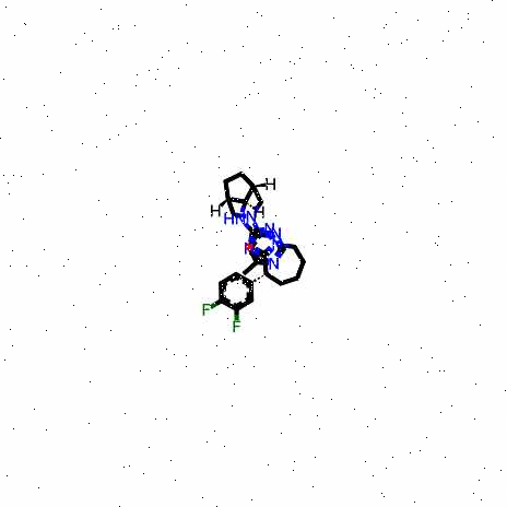 Cc1cc(N2C[C@H]3CC[C@@H](C2)[C@@H]3Nc2nc3n(n2)CCCC[C@@H]3c2ccc(F)c(F)c2)ncn1